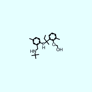 CCC(C)(Pc1ccc(C)cc1CNC(C)(C)C)c1cccc(C)c1OCO